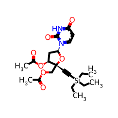 CC[Si](C#C[C@]1(COC(C)=O)O[C@@H](n2ccc(=O)[nH]c2=O)C[C@@H]1OC(C)=O)(CC)CC